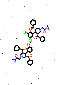 CN(C)C(=O)CN1C[C@H](C(=O)c2ccccc2)C(c2cc(Cl)cc(Cl)c2)[C@@H](C(=O)c2ccccc2)C1.COc1cccc(C2[C@@H](C(=O)c3ccccc3)CN(CC(=O)N(C)C)C[C@@H]2C(=O)c2ccccc2)c1